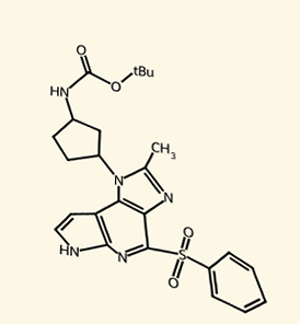 Cc1nc2c(S(=O)(=O)c3ccccc3)nc3[nH]ccc3c2n1C1CCC(NC(=O)OC(C)(C)C)C1